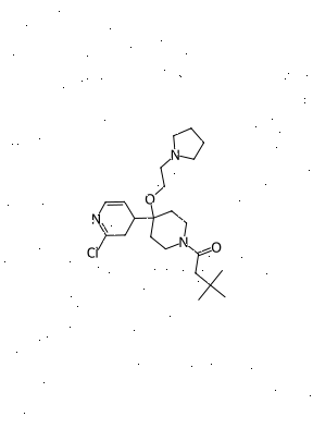 CC(C)(C)CC(=O)N1CCC(OCCN2CCCC2)(C2C=CN=C(Cl)C2)CC1